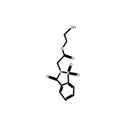 O=C(CN1C(=O)c2ccccc2S1(=O)=O)OCCO